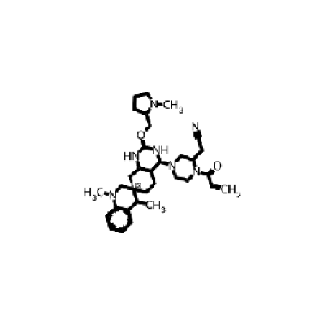 C=CC(=O)N1CCN(C2NC(OCC3CCCN3C)NC3C[C@]4(CCC32)CN(C)c2ccccc2C4C)CC1CC#N